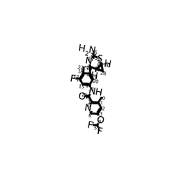 Cc1cc(OC(F)F)cnc1C(=O)Nc1cc(F)c2c(c1)[C@@]1(C2)N=C(N)S[C@H]2C[C@H]21